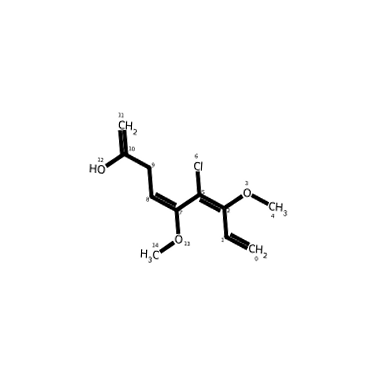 C=C/C(OC)=C(Cl)\C(=C/CC(=C)O)OC